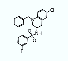 O=S(=O)(NC1Cc2cc(Cl)ccc2N(Cc2ccccc2)C1)c1cccc(F)c1